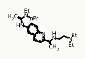 C=C(NCCN(CC)CC)c1ccc2cc(NC(=C)N(CC)CCC)ccc2n1